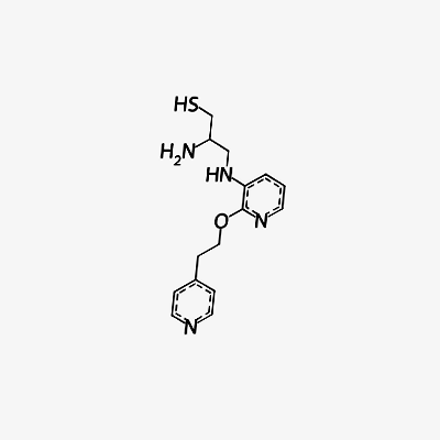 NC(CS)CNc1cccnc1OCCc1ccncc1